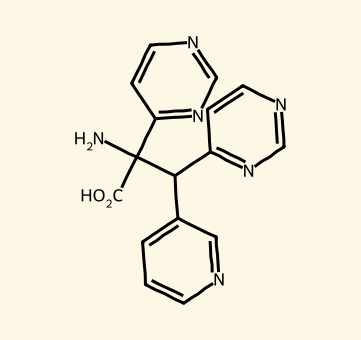 NC(C(=O)O)(c1ccncn1)C(c1cccnc1)c1ccncn1